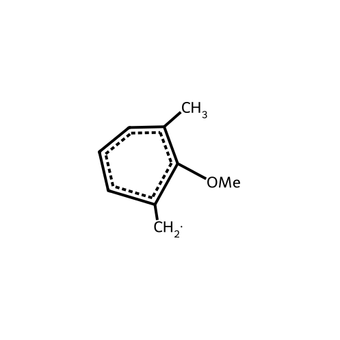 [CH2]c1cccc(C)c1OC